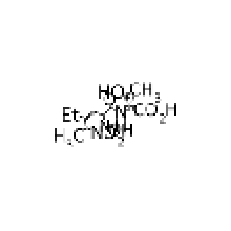 CCC(=CC(=NO)C(=O)N[C@H](C(=O)O)[C@@H](C)O)C(C)[N+](=O)[O-]